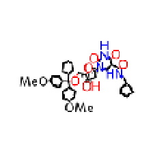 COc1ccc(C(OC[C@H]2O[C@@H](n3cc(C(=O)NCc4ccccc4)c(=O)[nH]c3=O)C[C@@H]2O)(c2ccccc2)c2ccc(OC)cc2)cc1